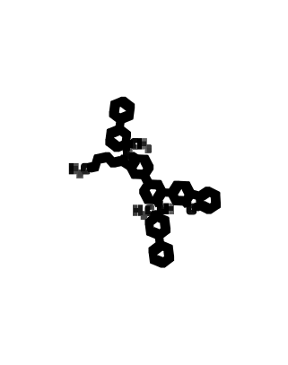 C=C/C=C\C=C1\c2cc(-c3ccc(NC4(C)C=CC(c5ccccc5)=CC4)c(-c4ccc5c(c4)oc4ccccc45)c3)ccc2N1C1(C)C=CC=C(c2ccccc2)C1